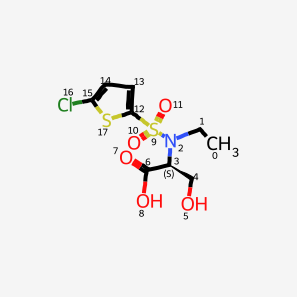 CCN([C@@H](CO)C(=O)O)S(=O)(=O)c1ccc(Cl)s1